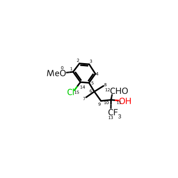 COc1cccc(C(C)(C)CC(O)(C=O)C(F)(F)F)c1Cl